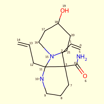 C=CCC1(C(N)=O)CCC[N]C1(CC=C)N1CCC(O)CC1